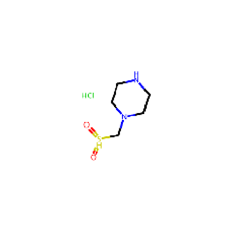 Cl.O=[SH](=O)CN1CCNCC1